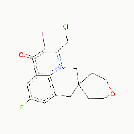 O=c1c(I)c(CCl)n2c3c(cc(F)cc13)CC1(CCOCC1)C2